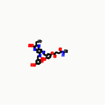 CCNC(=O)CCC(=O)Oc1ccc(O)c(/C=N/c2cc3nc(CC(C)C)c(O)nc3cc2/N=C/c2cc(O)ccc2O)c1